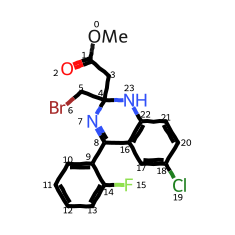 COC(=O)CC1(CBr)N=C(c2ccccc2F)c2cc(Cl)ccc2N1